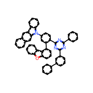 c1ccc(-c2cccc(-c3nc(-c4ccccc4)nc(-c4ccc(-n5c6ccccc6c6cc7ccccc7cc65)cc4-c4cccc5oc6ccccc6c45)n3)c2)cc1